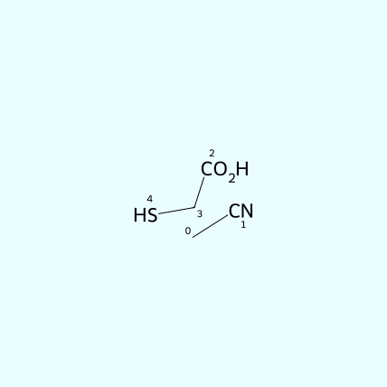 CC#N.O=C(O)CS